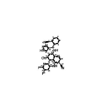 N#Cc1ccccc1[C@H](Nc1cc(Cl)cc2c(Nc3cnc(F)c(F)c3)c(C#N)cnc12)c1c[nH]nn1